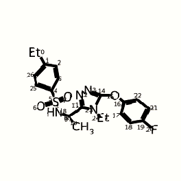 CCc1ccc(S(=O)(=O)N[C@H](C)c2nnc(Oc3ccc(F)cc3)n2CC)cc1